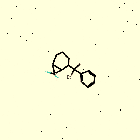 CCC(C)(c1ccccc1)C1CCCC2C1C2(F)F